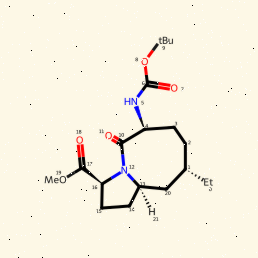 CC[C@H]1CC[C@H](NC(=O)OC(C)(C)C)C(=O)N2[C@H](CC[C@H]2C(=O)OC)C1